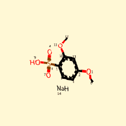 COc1ccc(S(=O)(=O)O)c(OC)c1.[NaH]